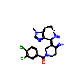 Cn1cnc2c1CCCN/C2=C1/CN(C(=O)c2ccc(Cl)c(Cl)c2)CCC1=N